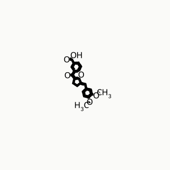 COc1ccc(C=C2CCc3c2oc2ccc(C(=O)O)cc2c3=O)cc1OC